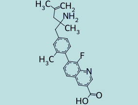 C=C(C)CC(C)(N)Cc1ccc(-c2ccc3cc(C(=O)O)cnc3c2F)c(C)c1